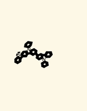 C[Si]1(C)c2ccccc2-c2cc3c4cc(-c5ccc6c(c5)c5ccccc5n6-c5ccccc5)ccc4n(-c4ccccc4)c3cc21